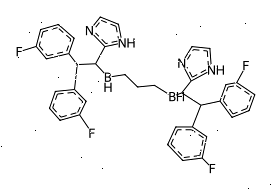 Fc1cccc(C(c2cccc(F)c2)C(BCCCBC(c2ncc[nH]2)C(c2cccc(F)c2)c2cccc(F)c2)c2ncc[nH]2)c1